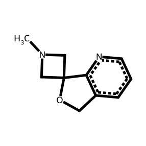 CN1CC2(C1)OCc1cccnc12